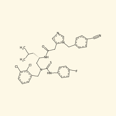 CC(C)C[C@@H](CN(Cc1cccc(Cl)c1Cl)C(=S)Nc1ccc(F)cc1)NC(=O)Cc1cncn1Cc1ccc(C#N)cc1